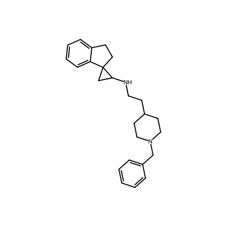 c1ccc(CN2CCC(CCNC3CC34CCc3ccccc34)CC2)cc1